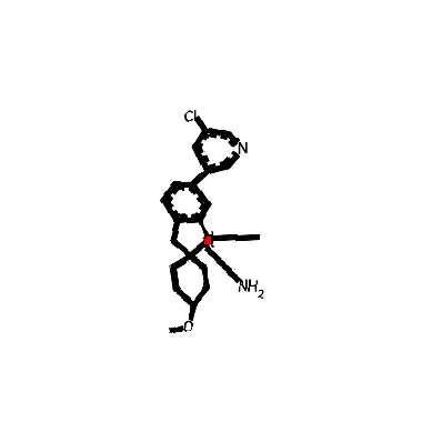 COC1CCC2(CC1)Cc1ccc(-c3cncc(Cl)c3)cc1[C@@]21N=C(C)C(N)=N1